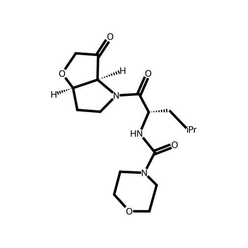 CC(C)C[C@H](NC(=O)N1CCOCC1)C(=O)N1CC[C@H]2OCC(=O)[C@H]21